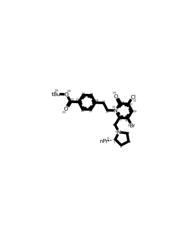 CCC[C@H]1CCCN1Cc1c(Br)cc(Cl)c(=O)n1CCc1ccc(C(=O)OC(C)(C)C)cc1